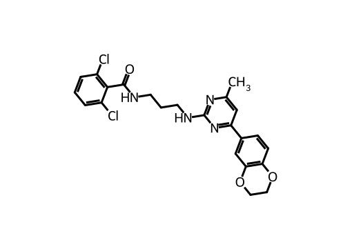 Cc1cc(-c2ccc3c(c2)OCCO3)nc(NCCCNC(=O)c2c(Cl)cccc2Cl)n1